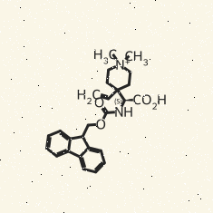 C=CC1([C@H](NC(=O)OCC2c3ccccc3-c3ccccc32)C(=O)O)CC[N+](C)(C)CC1